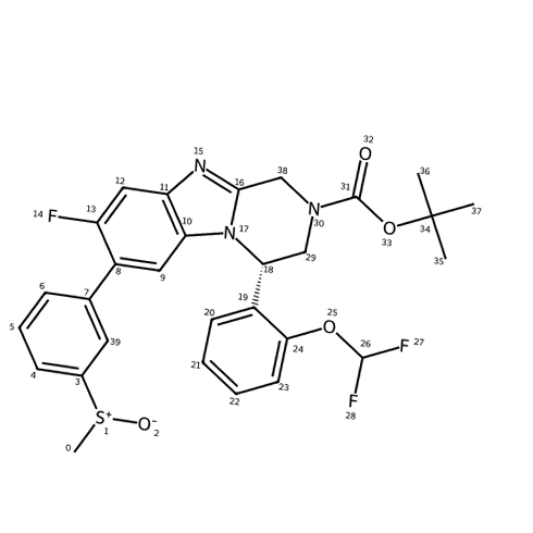 C[S+]([O-])c1cccc(-c2cc3c(cc2F)nc2n3[C@@H](c3ccccc3OC(F)F)CN(C(=O)OC(C)(C)C)C2)c1